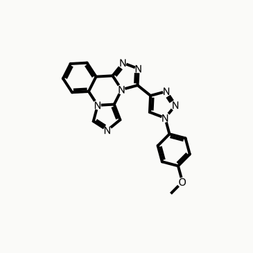 COc1ccc(-n2cc(-c3nnc4c5ccccc5n5cncc5n34)nn2)cc1